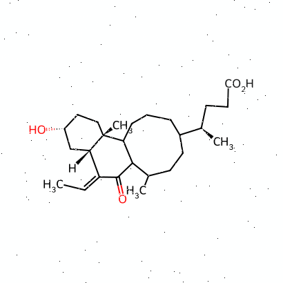 C/C=C1/C(=O)C2C(C)CCC([C@H](C)CCC(=O)O)CCCC2[C@@]2(C)CC[C@@H](O)C[C@@H]12